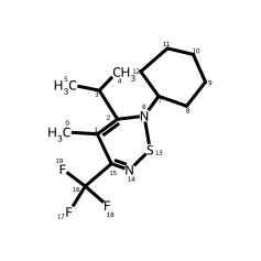 CC1=C(C(C)C)N(C2CCCCC2)SN=C1C(F)(F)F